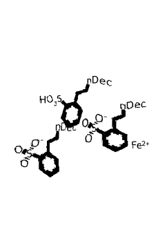 CCCCCCCCCCCCc1ccccc1S(=O)(=O)O.CCCCCCCCCCCCc1ccccc1S(=O)(=O)[O-].CCCCCCCCCCCCc1ccccc1S(=O)(=O)[O-].[Fe+2]